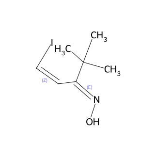 CC(C)(C)C(/C=C\I)=N/O